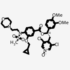 COc1ccc([C@H](Cc2c(Cl)c[n+]([O-])cc2Cl)OC(=O)c2ccc(N(CCN3CCOCC3)S(C)(=O)=O)c(OCC3CC3)c2)cc1OC